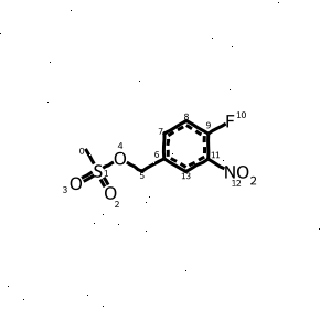 CS(=O)(=O)OCc1ccc(F)c([N+](=O)[O-])c1